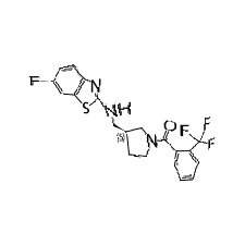 O=C(c1ccccc1C(F)(F)F)N1CC[C@@H](CNc2nc3ccc(F)cc3s2)C1